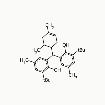 CC1=CCC(C(c2cc(C)cc(C(C)(C)C)c2O)c2cc(C)cc(C(C)(C)C)c2O)C(C)C1